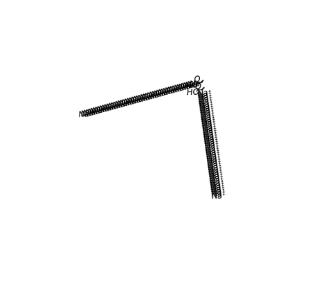 C=CC(=O)O.C=CC(=O)O.[Na+].[Na+].[Na+].[Na+].[Na+].[Na+].[Na+].[Na+].[Na+].[Na+].[Na+].[Na+].[Na+].[Na+].[Na+].[Na+].[Na+].[Na+].[Na+].[Na+].[Na+].[Na+].[Na+].[Na+].[Na+].[Na+].[Na+].[Na+].[Na+].[Na+].[Na+].[Na+].[Na+].[Na+].[Na+].[Na+].[Na+].[Na+].[Na+].[Na+].[Na+].[Na+].[Na+].[Na+].[Na+].[Na+].[Na+].[Na+].[Na+].[Na+].[Na+].[Na+].[Na+].[Na+].[Na+].[Na+].[Na+].[Na+].[Na+].[Na+].[Na+].[Na+].[Na+].[Na+].[Na+].[Na+].[Na+].[Na+].[Na+].[Na+].[Na+].[Na+].[Na+].[Na+].[Na+].[Na+].[Na+].[Na+].[Na+].[Na+].[Na+].[Na+].[Na+].[Na+].[Na+].[Na+].[Na+].[Na+].[Na+].[Na+].[Na+].[Na+].[Na+].[Na+].[Na+].[Na+].[Na+].[Na+]